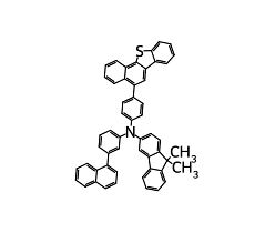 CC1(C)c2ccccc2-c2cc(N(c3ccc(-c4cc5c6ccccc6sc5c5ccccc45)cc3)c3cccc(-c4cccc5ccccc45)c3)ccc21